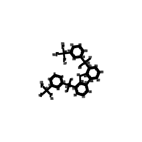 C[Si](C)(c1cccc(C(F)(F)F)c1)c1cccc2c1Cc1c-2cccc1[Si](C)(C)c1cccc(C(F)(F)F)c1